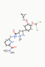 CCCN(C)C(=O)c1cccc(CNC(=O)[C@H]2CC(c3ccc(OC(F)F)c(OCC4CC4)c3)CN2C(C)=O)n1